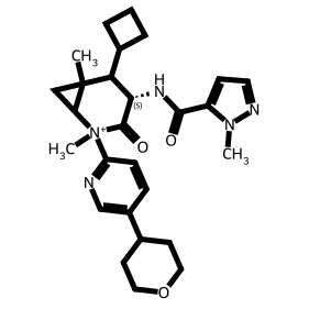 Cn1nccc1C(=O)N[C@@H]1C(=O)[N+](C)(c2ccc(C3CCOCC3)cn2)C2CC2(C)C1C1CCC1